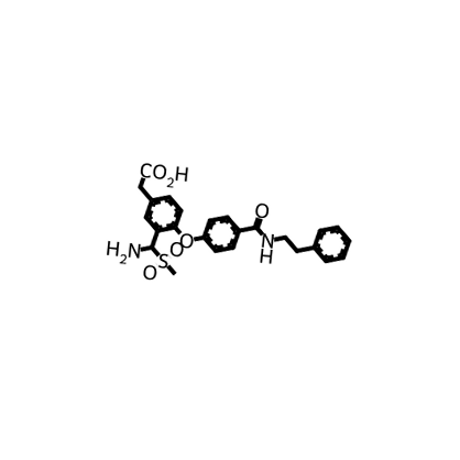 CS(=O)(=O)C(N)c1cc(CC(=O)O)ccc1Oc1ccc(C(=O)NCCc2ccccc2)cc1